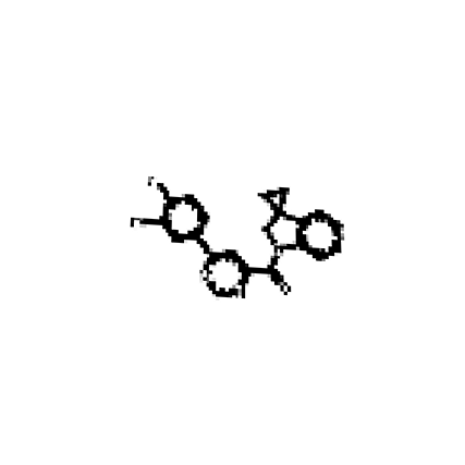 O=C(c1cc(-c2ccc(Cl)c(Cl)c2)ncn1)N1CC2(CC2)c2ccccc21